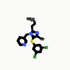 CC(C)c1nc(CCC(=O)O)n(Cc2cccnc2)c1Sc1cc(Cl)cc(Cl)c1